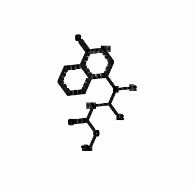 CCC(NC(=O)OC(C)(C)C)N(CC)c1c[nH]c(=O)c2ccccc12